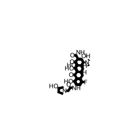 CN(C)[C@@H]1C(O)=C(C(N)=O)C(=O)[C@@]2(O)C(O)=C3C(=O)c4c(O)c(NC(=O)CN5CC[C@@H](O)C5)cc(F)c4C[C@H]3C[C@@H]12